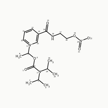 CC(C)N(C(=O)OC(C)[n+]1cccc(C(=O)NCCO[N+](=O)[O-])c1)C(C)C